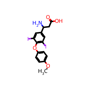 COc1ccc(Oc2c(I)cc(C(N)CC(=O)O)cc2I)cc1